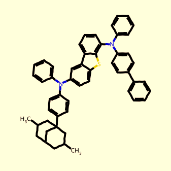 CC1CC2CC(C)CC(c3ccc(N(c4ccccc4)c4ccc5sc6c(N(c7ccccc7)c7ccc(-c8ccccc8)cc7)cccc6c5c4)cc3)(C1)C2